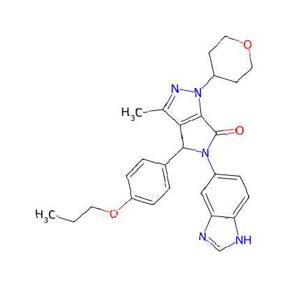 CCCOc1ccc(C2c3c(C)nn(C4CCOCC4)c3C(=O)N2c2ccc3[nH]cnc3c2)cc1